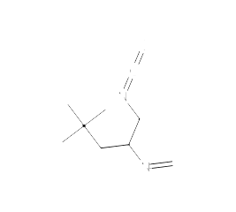 C=NC(CN=C=O)CC(C)(C)C